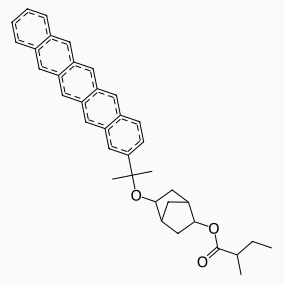 CCC(C)C(=O)OC1CC2CC1CC2OC(C)(C)c1ccc2cc3cc4cc5ccccc5cc4cc3cc2c1